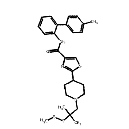 CSSC(C)(C)CN1CCC(c2nc(C(=O)Nc3ccccc3-c3ccc(C)cc3)cs2)CC1